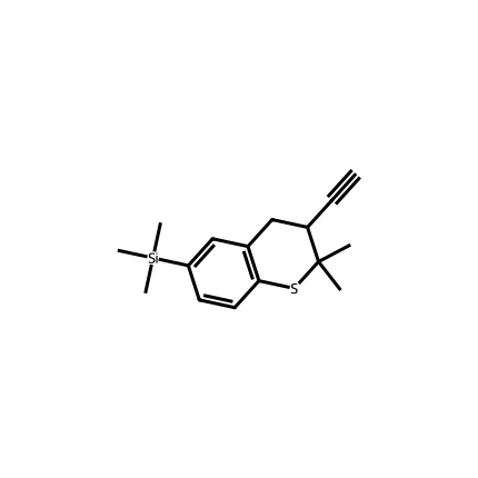 C#CC1Cc2cc([Si](C)(C)C)ccc2SC1(C)C